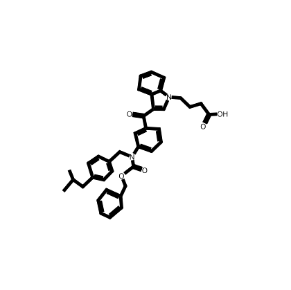 CC(C)Cc1ccc(CN(C(=O)OCc2ccccc2)c2cccc(C(=O)c3cn(CCCC(=O)O)c4ccccc34)c2)cc1